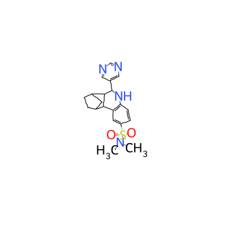 CN(C)S(=O)(=O)c1ccc2c(c1)C1C3CCC(C3)C1C(c1cncnc1)N2